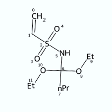 C=CS(=O)(=O)NC(CCC)(OCC)OCC